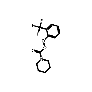 O=C(OOc1ccccc1C(F)(F)F)N1CCCCC1